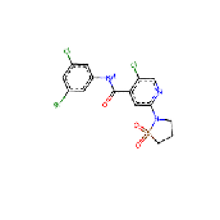 O=C(Nc1cc(Cl)cc(Br)c1)c1cc(N2CCCS2(=O)=O)ncc1Cl